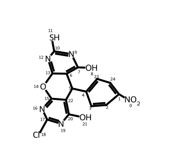 O=[N+]([O-])c1ccc(C2c3c(O)nc(S)nc3Oc3nc(Cl)nc(O)c32)cc1